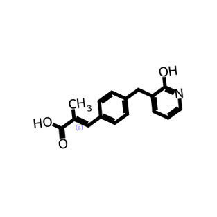 C/C(=C\c1ccc(Cc2cccnc2O)cc1)C(=O)O